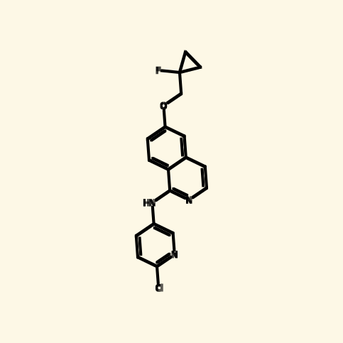 FC1(COc2ccc3c(Nc4ccc(Cl)nc4)nccc3c2)CC1